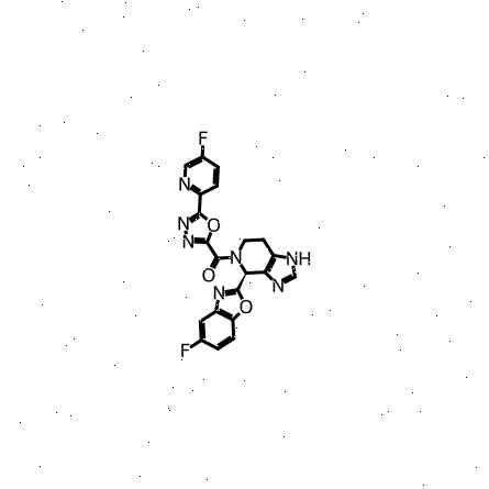 O=C(c1nnc(-c2ccc(F)cn2)o1)N1CCc2[nH]cnc2[C@H]1c1nc2cc(F)ccc2o1